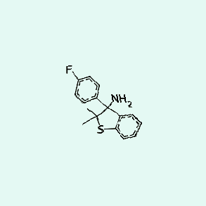 CC1(C)Sc2ccccc2C1(N)c1ccc(F)cc1